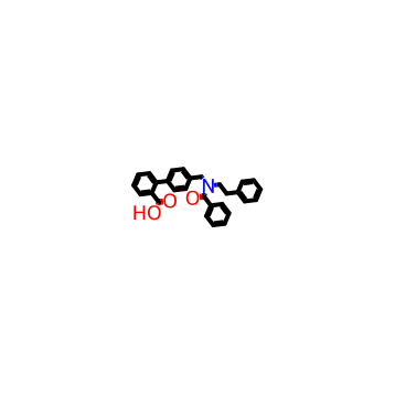 O=C(O)c1ccccc1-c1ccc(CN(CCc2ccccc2)C(=O)c2ccccc2)cc1